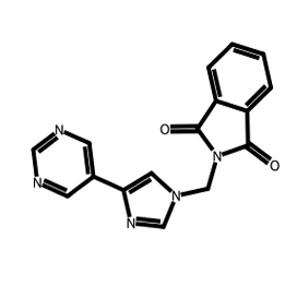 O=C1c2ccccc2C(=O)N1Cn1cnc(-c2cncnc2)c1